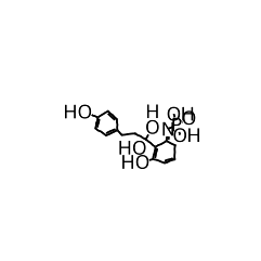 O=P(O)(O)N=C1CC=CC(O)=C1C(O)(O)CCc1ccc(O)cc1